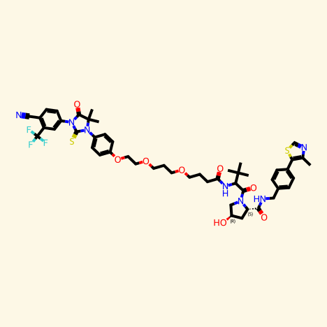 Cc1ncsc1-c1ccc(CNC(=O)[C@@H]2C[C@@H](O)CN2C(=O)C(NC(=O)CCCOCCCOCCOc2ccc(N3C(=S)N(c4ccc(C#N)c(C(F)(F)F)c4)C(=O)C3(C)C)cc2)C(C)(C)C)cc1